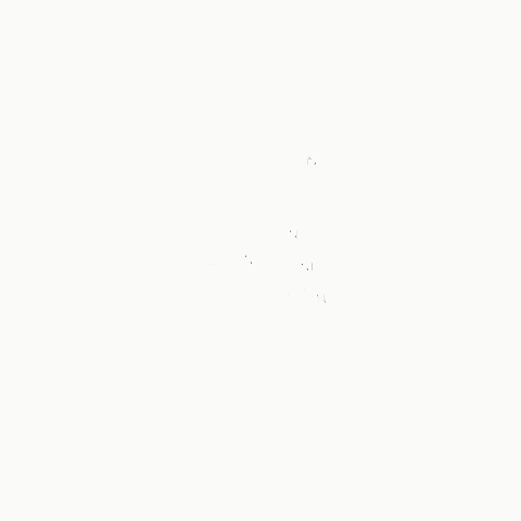 Cc1cccc(NC(=O)NC2N=C(c3ccncc3)c3ccccc3N(CC(=O)C3CCCC3)C2=O)c1